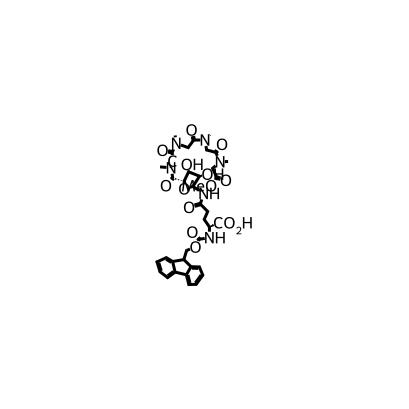 COC(=O)CN(C)C(=O)CN(C)C(=O)CN(C)C(=O)CN(C)C(=O)[C@H]1OC(NC(=O)CC[C@H](NC(=O)OCC2c3ccccc3-c3ccccc32)C(=O)O)[C@H](O)[C@@H]1O